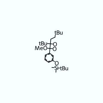 COC1(c2cccc(O[Si](C)(C)C(C)(C)C)c2)OOC1(CCC(C)(C)C)C(C)(C)C